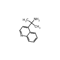 CC(C)(N)c1ccnc2ccccc12